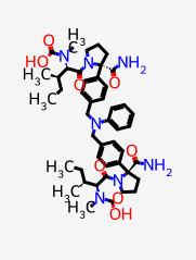 CC[C@@H](C)[C@@H](C(=O)N1CCC[C@@]1(C(N)=O)c1ccc(CN(Cc2ccc([C@]3(C(N)=O)CCCN3C(=O)[C@H]([C@H](C)CC)N(C)C(=O)O)cc2)c2ccccc2)cc1)N(C)C(=O)O